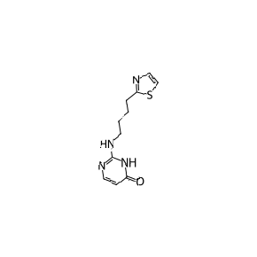 O=c1ccnc(NCCCCc2nccs2)[nH]1